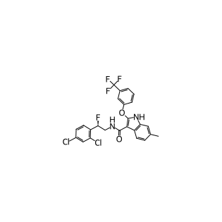 Cc1ccc2c(C(=O)NC[C@H](F)c3ccc(Cl)cc3Cl)c(Oc3cccc(C(F)(F)F)c3)[nH]c2c1